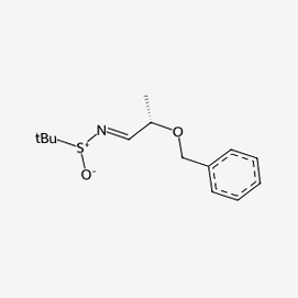 C[C@@H](C=N[S+]([O-])C(C)(C)C)OCc1ccccc1